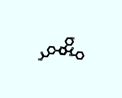 O=C(O)CC1CCCN(c2ccc(C(=O)NC3CCCCC3)c(N3CCNCC3)n2)C1